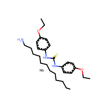 CCCCCCCCCCCCN.CCOc1ccc(NC(=S)Nc2ccc(OCC)cc2)cc1.[Nb]